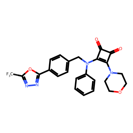 O=c1c(N2CCOCC2)c(N(Cc2ccc(-c3nnc(C(F)(F)F)o3)cc2)c2ccccc2)c1=O